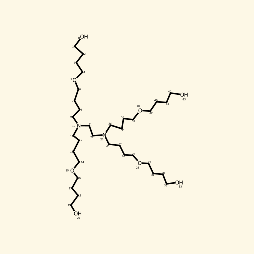 OCCCCOCCCCN(CCCCOCCCCO)CCN(CCCCOCCCCO)CCCCOCCCCO